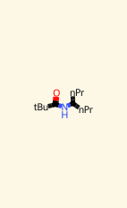 CCCC(CCC)NC(=O)C(C)(C)C